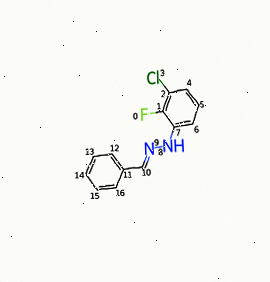 Fc1c(Cl)cccc1NN=Cc1ccccc1